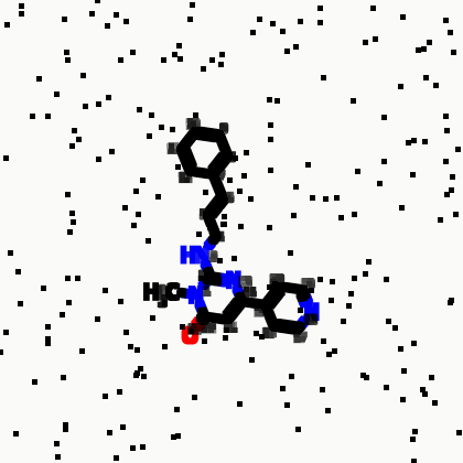 Cn1c(NC/C=C/c2ccccc2)nc(-c2ccncc2)cc1=O